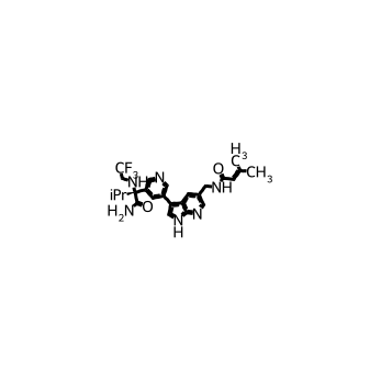 CC(C)=CC(=O)NCc1cnc2[nH]cc(-c3cncc([C@@](NCC(F)(F)F)(C(N)=O)C(C)C)c3)c2c1